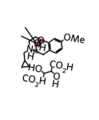 COc1ccc2c(c1)[C@]13CCN(CC4CC4)[C@H](C2)[C@@H]1OC(C)(C)OC3.O=C(O)C(O)C(O)C(=O)O